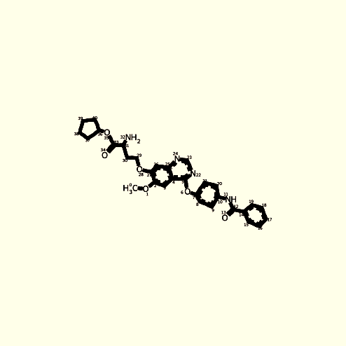 COc1cc2c(Oc3ccc(NC(=O)c4ccccc4)cc3)ncnc2cc1OCCC(N)C(=O)OC1CCCC1